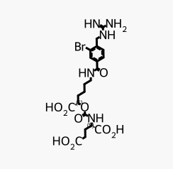 N=C(N)NCc1ccc(C(=O)NCCCC[C@H](OC(=O)N[C@@H](CCC(=O)O)C(=O)O)C(=O)O)cc1Br